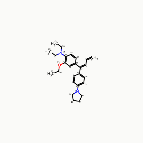 C=C/C=C(/c1ccc(N2CCCC2)cc1)c1ccc(N(CC)CC)c(OCC)c1